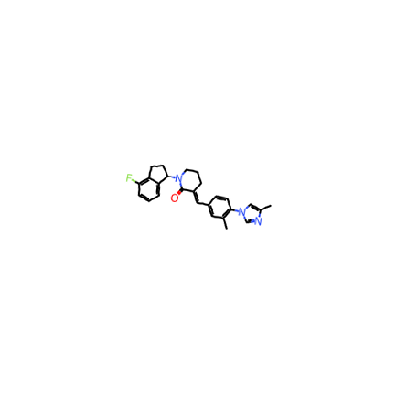 Cc1cn(-c2ccc(/C=C3\CCCN([C@@H]4CCc5c(F)cccc54)C3=O)cc2C)cn1